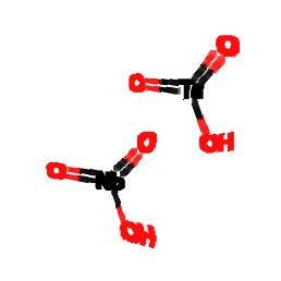 [O]=[Nb](=[O])[OH].[O]=[Ta](=[O])[OH]